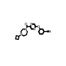 N#Cc1cccc(Oc2cnc(C(=O)N3CCCN(C4CCC4)CC3)cn2)c1